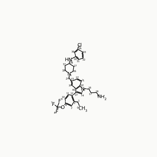 CCc1cc(OC(F)(F)F)ccc1-c1cn(CCCN)c2ccc(CN3CCC(Nc4cccc(Cl)c4)CC3)cc12